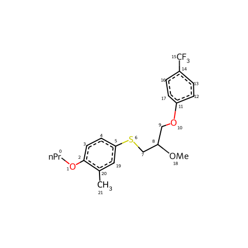 CCCOc1ccc(SCC(COc2ccc(C(F)(F)F)cc2)OC)cc1C